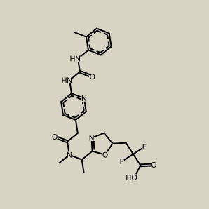 Cc1ccccc1NC(=O)Nc1ccc(CC(=O)N(C)C(C)C2=NCC(CC(F)(F)C(=O)O)O2)cn1